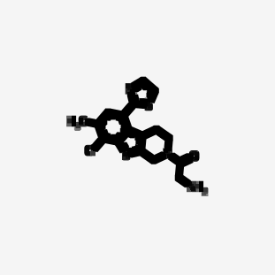 Cc1cc(-c2nccs2)c2c3c(sc2c1Cl)CN(C(=O)CN)CC3